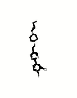 CC/C=C/[C@H]1CC[C@H](CCc2cnc(-c3ccc(F)c(Cl)c3)nc2)CC1